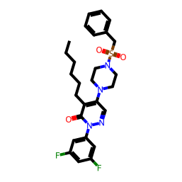 CCCCCCc1c(N2CCN(S(=O)(=O)Cc3ccccc3)CC2)cnn(-c2cc(F)cc(F)c2)c1=O